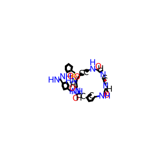 C[C@@H]1C(=O)Nc2ccc(cc2)C[C@@H](C(=O)NCc2ccc(C(=N)N)cc2)NC(=O)[C@H](NS(=O)(=O)Cc2ccccc2)Cc2ccc(cc2)NC(=O)[C@@H](C)N2CCN1CC2